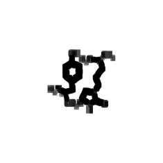 CN(C)CCCS1=CCNC1=O.N[C@@H](Cc1ccc(O)cc1)C(=O)O